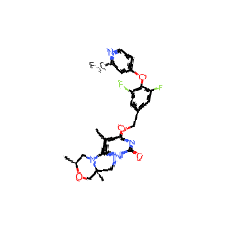 Cc1c(OCc2cc(F)c(Oc3ccnc(C(F)(F)F)c3)c(F)c2)nc(=O)n2c1N1C[C@H](C)OC[C@@]1(C)C2